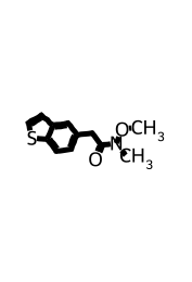 CON(C)C(=O)Cc1ccc2sccc2c1